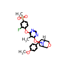 COc1ccc(CN2C3COC[C@H]2CC(Oc2ncnc(Oc4ccc(S(C)(=O)=O)cc4F)c2C)C3)cc1